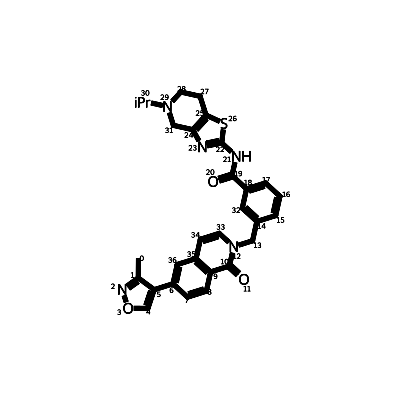 Cc1nocc1-c1ccc2c(=O)n(Cc3cccc(C(=O)Nc4nc5c(s4)CCN(C(C)C)C5)c3)ccc2c1